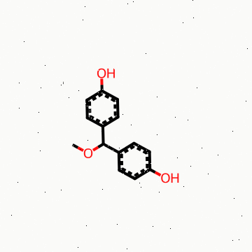 COC(c1ccc(O)cc1)c1ccc(O)cc1